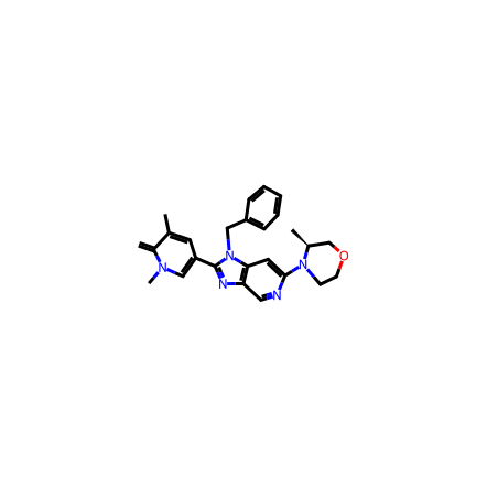 C=C1C(C)=CC(c2nc3cnc(N4CCOC[C@@H]4C)cc3n2Cc2ccccc2)=CN1C